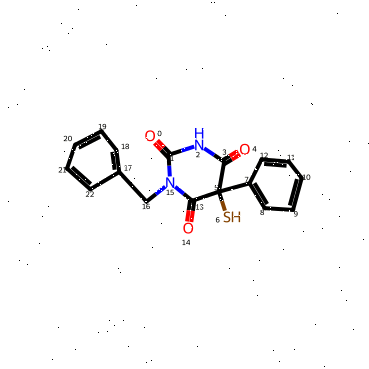 O=C1NC(=O)C(S)(c2ccccc2)C(=O)N1Cc1ccccc1